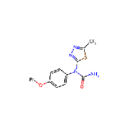 CC(C)Oc1ccc(N(C(N)=O)c2nnc(C(F)(F)F)s2)cc1